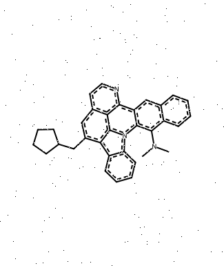 CN(C)c1c2ccccc2cc2c3nccc4cc(CC5CCCC5)c5c6ccccc6n(c12)c5c43